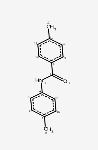 Cc1[c]cc(NC(=O)c2ccc(C)cc2)cc1